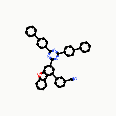 N#Cc1cccc(-c2cc(-c3nc(-c4ccc(-c5ccccc5)cc4)nc(-c4ccc(-c5ccccc5)cc4)n3)cc3oc4ccccc4c23)c1